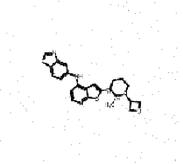 C[C@@H]1[C@@H](c2cc3c(Nc4ccc5scnc5c4)ccnc3s2)CCCN1C1COC1